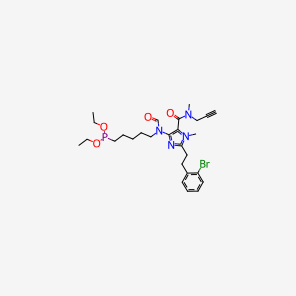 C#CCN(C)C(=O)c1c(N(C=O)CCCCCP(OCC)OCC)nc(CCc2ccccc2Br)n1C